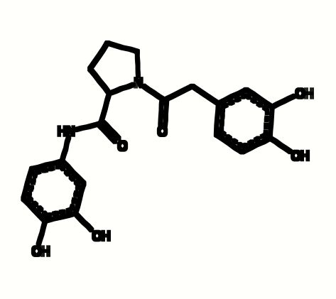 O=C(Nc1ccc(O)c(O)c1)C1CCCN1C(=O)Cc1ccc(O)c(O)c1